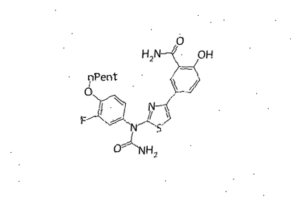 CCCCCOc1ccc(N(C(N)=O)c2nc(-c3ccc(O)c(C(N)=O)c3)cs2)cc1F